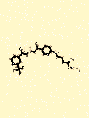 COC(=O)CCCOc1ccc(C(C)CNCC(O)c2cccc(C(F)(F)F)c2)cc1